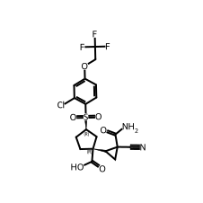 N#CC1(C(N)=O)CC1[C@@]1(C(=O)O)CC[C@@H](S(=O)(=O)c2ccc(OCC(F)(F)F)cc2Cl)C1